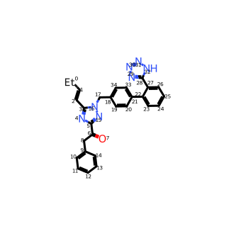 CC/C=C/c1nc(C(=O)Cc2ccccc2)nn1Cc1ccc(-c2ccccc2-c2nnn[nH]2)cc1